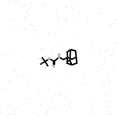 CC(C)(C)OC(=O)NCC12CC3CC(C1)C(F)C(C3)C2